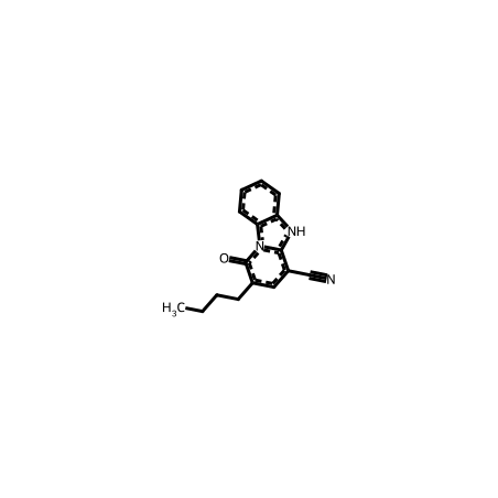 CCCCc1cc(C#N)c2[nH]c3ccccc3n2c1=O